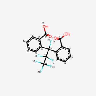 O=C(O)c1ccccc1C(F)(c1ccccc1C(=O)O)C(F)(F)C(F)(F)F